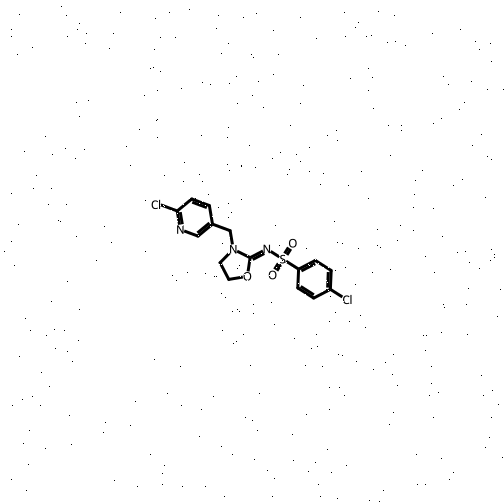 O=S(=O)(N=C1OCCN1Cc1ccc(Cl)nc1)c1ccc(Cl)cc1